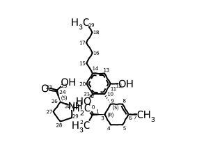 C=C(C)[C@@H]1CCC(C)=C[C@H]1c1c(O)cc(CCCCC)cc1O.O=C(O)[C@@H]1CCCN1